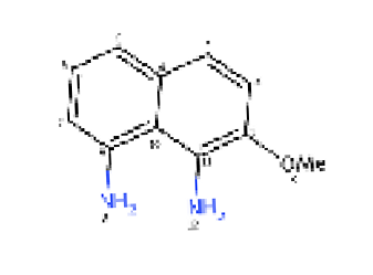 COc1ccc2cccc(N)c2c1N